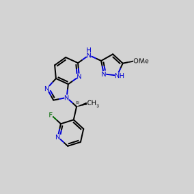 COc1cc(Nc2ccc3ncn([C@@H](C)c4cccnc4F)c3n2)n[nH]1